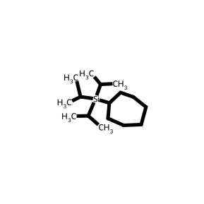 CC(C)[Si]([C]1CCCCCC1)(C(C)C)C(C)C